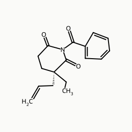 C=CC[C@]1(CC)CCC(=O)N(C(=O)c2ccccc2)C1=O